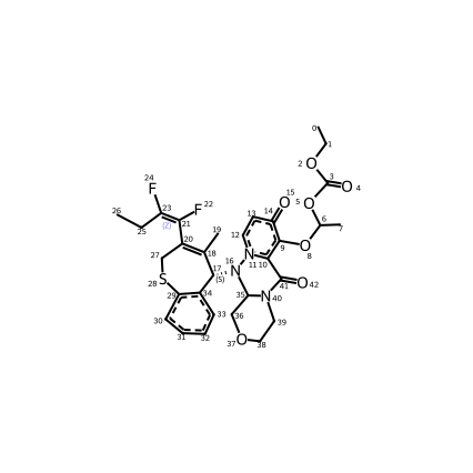 CCOC(=O)OC(C)Oc1c2n(ccc1=O)N([C@H]1C(C)=C(/C(F)=C(/F)CC)CSc3ccccc31)C1COCCN1C2=O